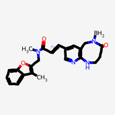 BN1Cc2cc(/C=C/C(=O)N(C)Cc3oc4ccccc4c3C)cnc2NCCC1=O